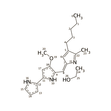 CCCCCC1=CC(=Cc2[nH]c(-c3ccc[nH]3)cc2OC)N=C1C.CCO